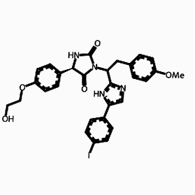 COc1ccc(CC(c2ncc(-c3ccc(I)cc3)[nH]2)N2C(=O)N[C@H](c3ccc(OCCO)cc3)C2=O)cc1